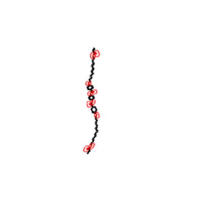 C=CC(=O)OCCCCCCCCCCCOc1ccc(C(=O)Oc2ccc(OC(=O)C3CCC(OCCCCCCCCCCCOC(=O)C=C)CC3)cc2)cc1